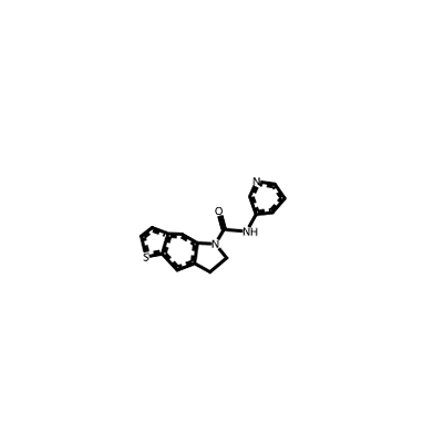 O=C(Nc1cccnc1)N1CCc2cc3sccc3cc21